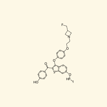 O=C(c1ccc(O)cc1)c1sc2cc(OPI)ccc2c1Oc1ccc(OCCN2CC(CF)C2)cc1